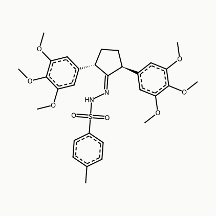 COc1cc([C@@H]2CC[C@@H](c3cc(OC)c(OC)c(OC)c3)C2=NNS(=O)(=O)c2ccc(C)cc2)cc(OC)c1OC